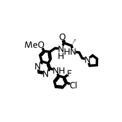 COc1cc2ncnc(Nc3cccc(Cl)c3F)c2cc1CNC(=O)[C@H](C)NCCN1CCCC1